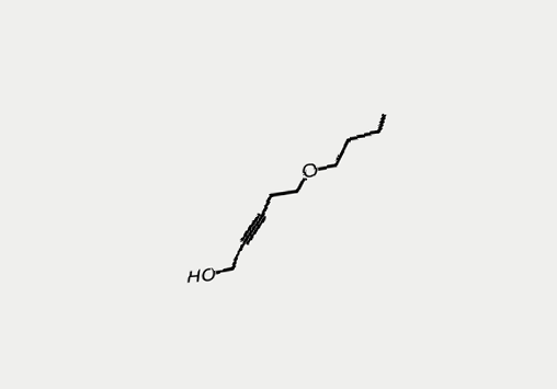 CCCCOCCC#CCO